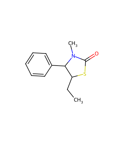 CCC1SC(=O)N(C)C1c1ccccc1